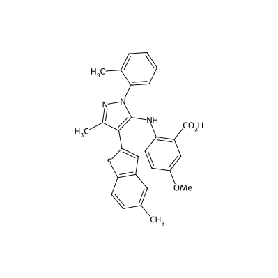 COc1ccc(Nc2c(-c3cc4cc(C)ccc4s3)c(C)nn2-c2ccccc2C)c(C(=O)O)c1